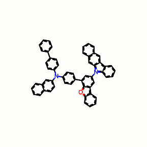 c1ccc(-c2ccc(N(c3ccc(-c4cc(-n5c6ccccc6c6cc7ccccc7cc65)cc5c4oc4ccccc45)cc3)c3ccc4ccccc4c3)cc2)cc1